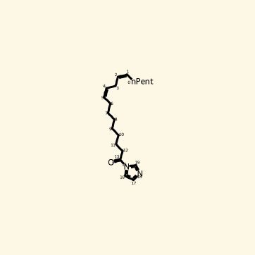 CCCCC/C=C\C/C=C\CCCCCCCC(=O)n1ccnc1